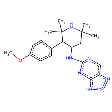 COc1ccc(C2C(Nc3ncc4nn[nH]c4n3)CC(C)(C)NC2(C)C)cc1